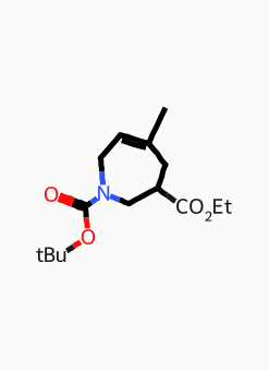 CCOC(=O)C1CC(C)=CCN(C(=O)OC(C)(C)C)C1